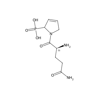 NC(=O)CC[C@H](N)C(=O)N1CC=CC1P(=O)(O)O